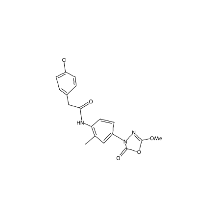 COc1nn(-c2ccc(NC(=O)Cc3ccc(Cl)cc3)c(C)c2)c(=O)o1